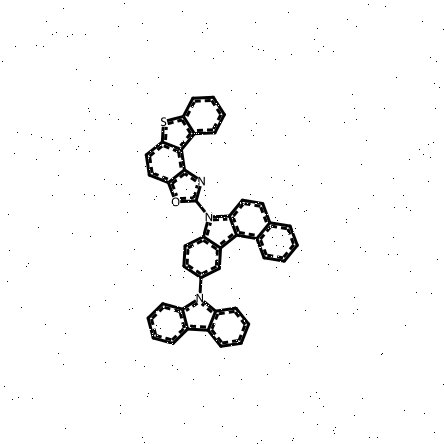 c1ccc2c(c1)ccc1c2c2cc(-n3c4ccccc4c4ccccc43)ccc2n1-c1nc2c(ccc3sc4ccccc4c32)o1